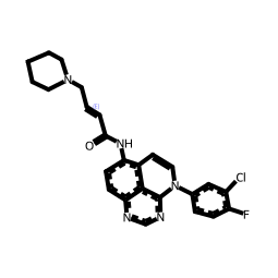 O=C(/C=C/CN1CCCCC1)Nc1ccc2ncnc3c2c1C=CN3c1ccc(F)c(Cl)c1